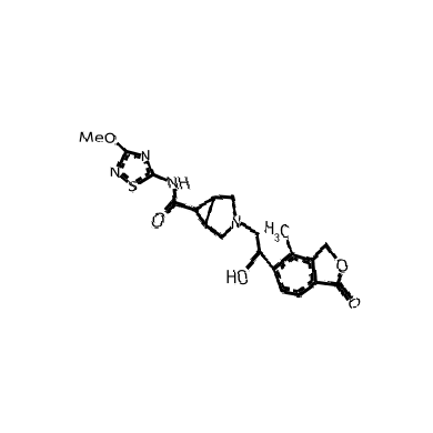 COc1nsc(NC(=O)C2C3CN(CC(O)c4ccc5c(c4C)COC5=O)CC32)n1